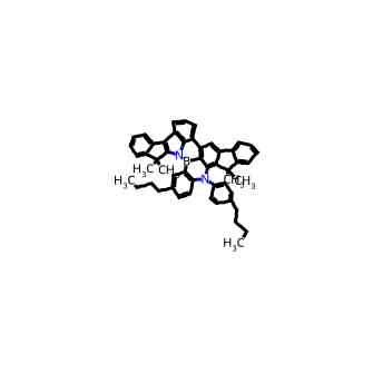 CCCCc1ccc(N2c3ccc(CCCC)cc3B3c4c(cc5c(c42)C(C)(C)c2ccccc2-5)-c2cccc4c5c(n3c24)C(C)(C)c2ccccc2-5)cc1